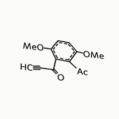 C#CC(=O)c1c(OC)ccc(OC)c1C(C)=O